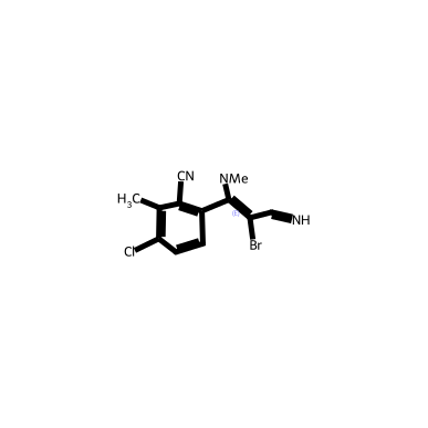 CN/C(=C(/Br)C=N)c1ccc(Cl)c(C)c1C#N